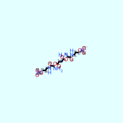 NC(OC(=O)/C=C/C(=O)OC(N)C(=O)NCCCO[N+](=O)[O-])C(=O)NCCCO[N+](=O)[O-]